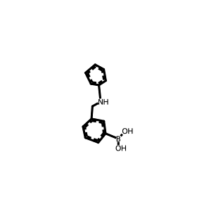 OB(O)c1cccc(CNc2ccccc2)c1